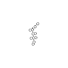 c1ccc2cc(-c3c4ccccc4c(-c4ccc(-c5cc6c7cc8sc9ccccc9c8cc7sc6c6ccccc56)c5ccccc45)c4ccccc34)ccc2c1